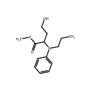 CCCN(c1ccccc1)C(CCO)C(=O)OC